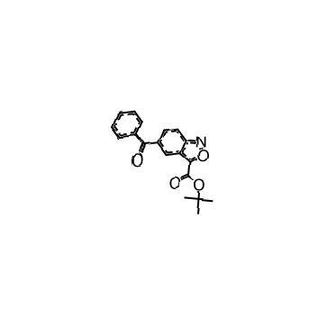 CC(C)(C)OC(=O)c1onc2ccc(C(=O)c3ccccc3)cc12